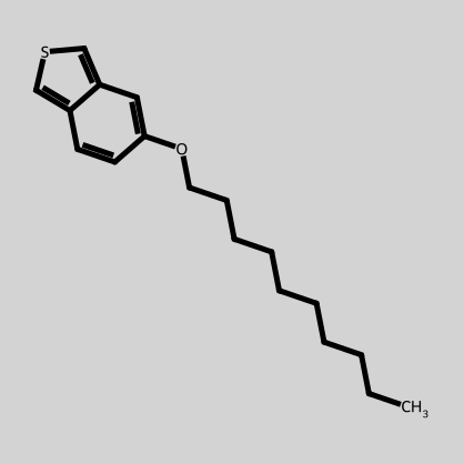 CCCCCCCCCCOc1ccc2cscc2c1